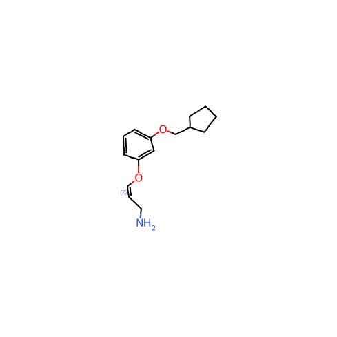 NC/C=C\Oc1cccc(OCC2CCCC2)c1